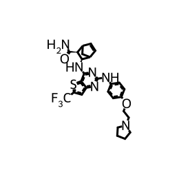 NC(=O)[C@H]1C2C=CC(C2)[C@H]1Nc1nc(Nc2ccc(OCCN3CCCC3)cc2)nc2cc(C(F)(F)F)sc12